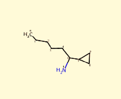 CCCCCC(N)C1CC1